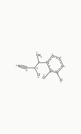 CC(c1cccc(Cl)c1Cl)C(Cl)C#N